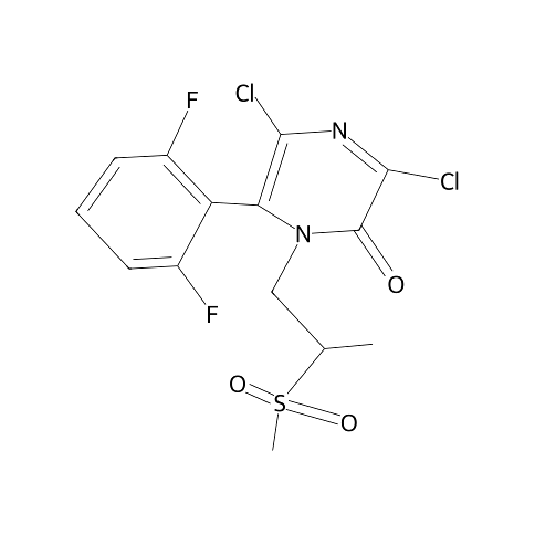 CC(Cn1c(-c2c(F)cccc2F)c(Cl)nc(Cl)c1=O)S(C)(=O)=O